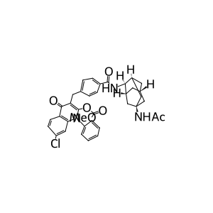 COC(=O)Oc1c(Cc2ccc(C(=O)N[C@@H]3[C@@H]4C[C@@H]5C[C@H]3C[C@](NC(C)=O)(C5)C4)cc2)c(=O)c2ccc(Cl)cc2n1-c1ccccc1